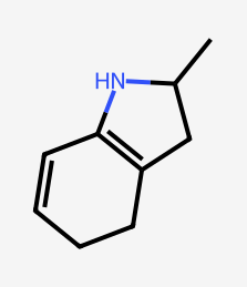 CC1CC2=C(C=CCC2)N1